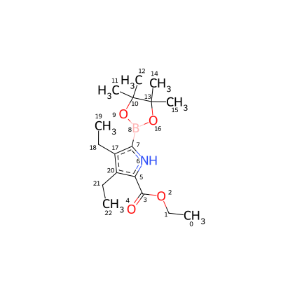 CCOC(=O)c1[nH]c(B2OC(C)(C)C(C)(C)O2)c(CC)c1CC